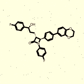 O=C1[C@H](CC[C@H](O)c2ccc(F)cc2)[C@@H](c2ccc(-c3ccc4c(c3)OCCO4)cc2)N1c1ccc(F)cc1